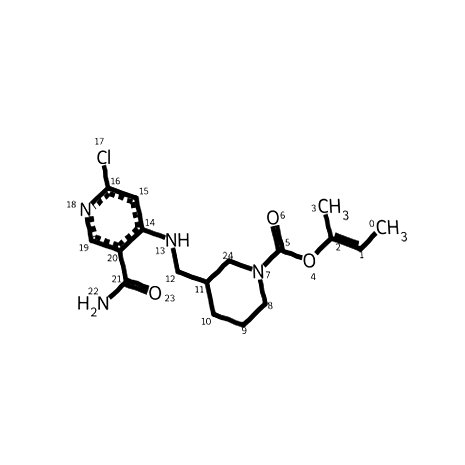 C/C=C(\C)OC(=O)N1CCCC(CNc2cc(Cl)ncc2C(N)=O)C1